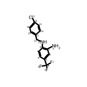 Nc1cc(C(F)(F)F)ccc1NCc1ccc(Cl)cc1